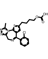 Cc1nnc2n1-c1sc(CCCCOC(=O)O)cc1C(c1ccccc1Cl)=NC2